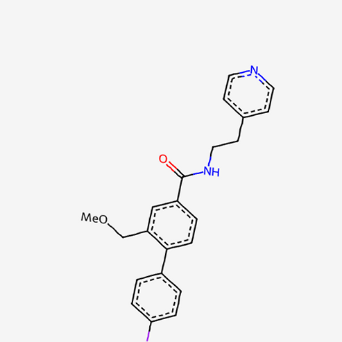 COCc1cc(C(=O)NCCc2ccncc2)ccc1-c1ccc(I)cc1